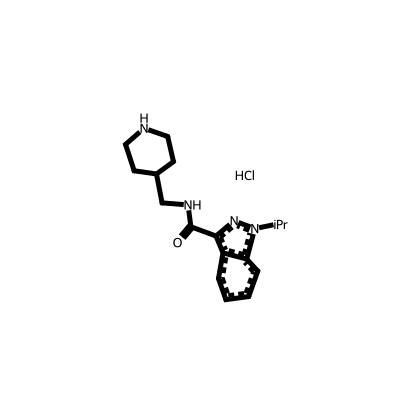 CC(C)n1nc(C(=O)NCC2CCNCC2)c2ccccc21.Cl